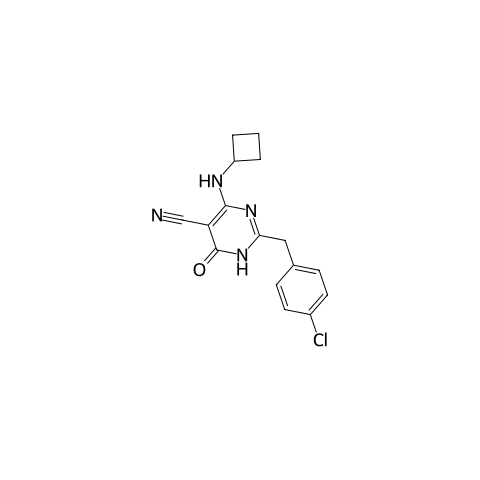 N#Cc1c(NC2CCC2)nc(Cc2ccc(Cl)cc2)[nH]c1=O